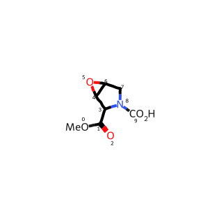 COC(=O)C1C2OC2CN1C(=O)O